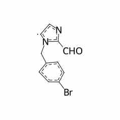 O=Cc1nc[c]n1Cc1ccc(Br)cc1